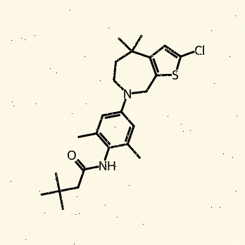 Cc1cc(N2CCC(C)(C)c3cc(Cl)sc3C2)cc(C)c1NC(=O)CC(C)(C)C